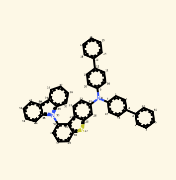 c1ccc(-c2ccc(N(c3ccc(-c4ccccc4)cc3)c3ccc4c(c3)sc3cccc(-n5c6ccccc6c6ccccc65)c34)cc2)cc1